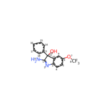 NC1=Nc2ccc(OC(F)(F)F)cc2C1(O)c1ccccc1